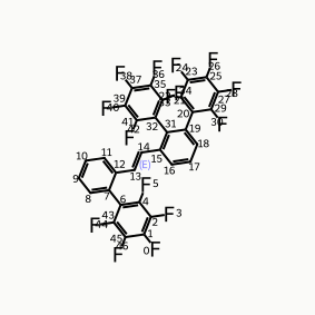 Fc1c(F)c(F)c(-c2ccccc2/C=C/c2cccc(-c3c(F)c(F)c(F)c(F)c3F)c2-c2c(F)c(F)c(F)c(F)c2F)c(F)c1F